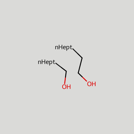 CCCCCCCCCO.CCCCCCCCO